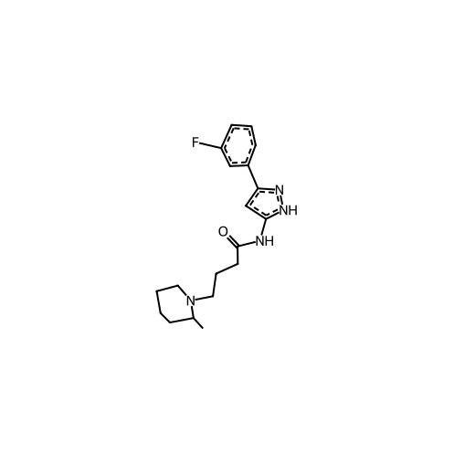 CC1CCCCN1CCCC(=O)Nc1cc(-c2cccc(F)c2)n[nH]1